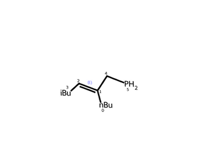 CCCC/C(=C\C(C)CC)CP